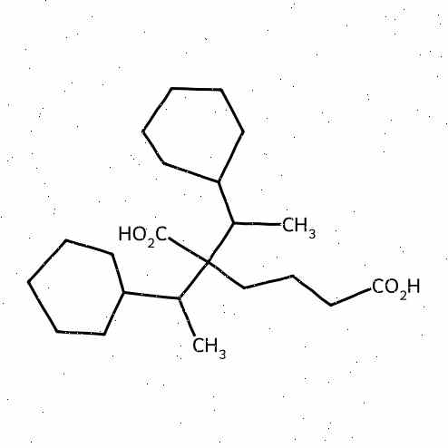 CC(C1CCCCC1)C(CCCC(=O)O)(C(=O)O)C(C)C1CCCCC1